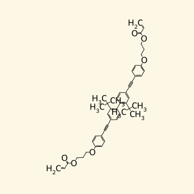 C=CC(=O)OCCCOc1ccc(C#Cc2ccc(-c3ccc(C#Cc4ccc(OCCCOC(=O)C=C)cc4)cc3C(C)(C)C)c(C(C)(C)C)c2)cc1